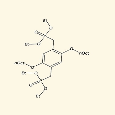 CCCCCCCCOc1cc(CP(=O)(OCC)OCC)c(OCCCCCCCC)cc1CP(=O)(OCC)OCC